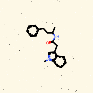 CC(CCc1ccccc1)NC(=O)Cc1cn(C)c2ccccc12